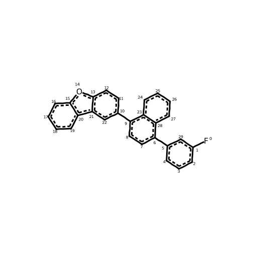 Fc1cccc(-c2ccc(-c3ccc4oc5ccccc5c4c3)c3ccccc23)c1